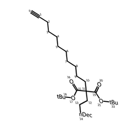 C#CCCCCCCCCCC(CCCCCCCCCCCC)(C(=O)OC(C)(C)C)C(=O)OC(C)(C)C